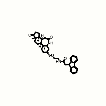 C[C@]12CC/C(=N/OCCNC(=O)CC3c4ccccc4-c4ccccc43)CC1NC(=O)C[C@@H]1[C@@H]2CC[C@]2(C)C(=O)CC[C@@H]12